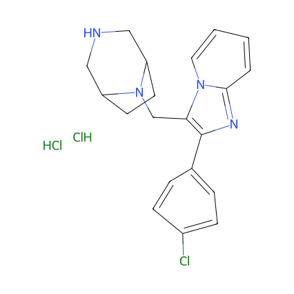 Cl.Cl.Clc1ccc(-c2nc3ccccn3c2CN2C3CCC2CNC3)cc1